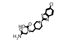 NC(=O)CN(CC1CCN(c2nc3ccc(Cl)cc3s2)CC1)C(=O)O